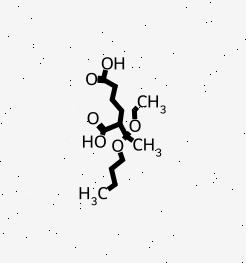 CCCCOC(C)(OCC)C(CCCC(=O)O)C(=O)O